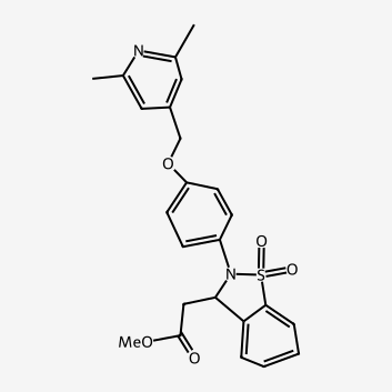 COC(=O)CC1c2ccccc2S(=O)(=O)N1c1ccc(OCc2cc(C)nc(C)c2)cc1